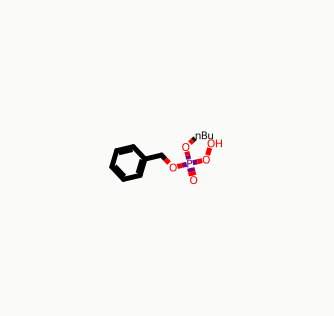 CCCCOP(=O)(OO)OCc1ccccc1